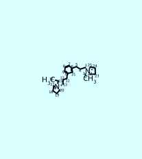 CC[N+]1(CCCc2cccc(CCC[N+]3(CC)CCCC3)c2)CCCC1